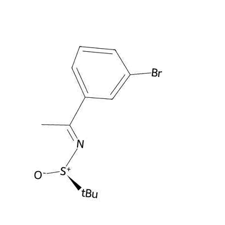 CC(=N[S@+]([O-])C(C)(C)C)c1cccc(Br)c1